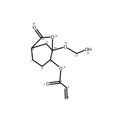 C=CC(=O)OC1CCC2CC1(OCO)OC2=O